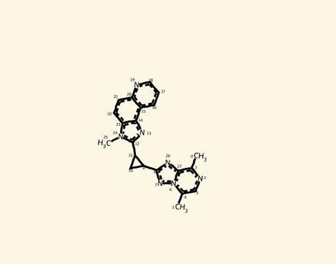 Cc1ncc(C)n2nc(C3CC3c3nc4c5cccnc5ccc4n3C)nc12